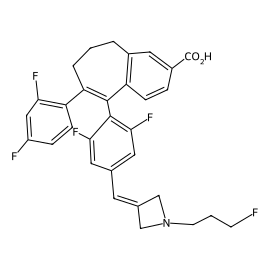 O=C(O)c1ccc2c(c1)CCCC(c1ccc(F)cc1F)=C2c1c(F)cc(C=C2CN(CCCF)C2)cc1F